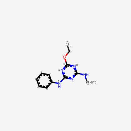 CCCCCNc1nc(Nc2ccccc2)nc(OCC(F)(F)F)n1